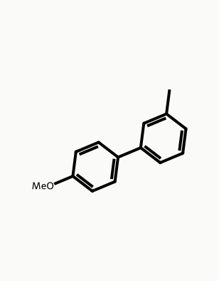 COc1ccc(-c2cccc(C)c2)cc1